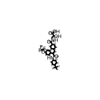 CC(C)(C)c1ccc(NC(=O)/C(=C/c2ccc(C(=O)NCC(O)C(=O)O)cc2)c2ccc(OC(F)(F)F)cc2)cc1